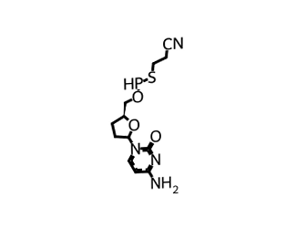 N#CCCSPOC[C@@H]1CCC(n2ccc(N)nc2=O)O1